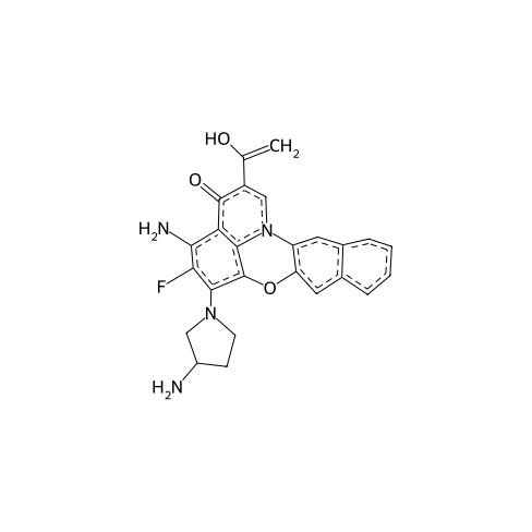 C=C(O)c1cn2c3c(c(N4CCC(N)C4)c(F)c(N)c3c1=O)Oc1cc3ccccc3cc1-2